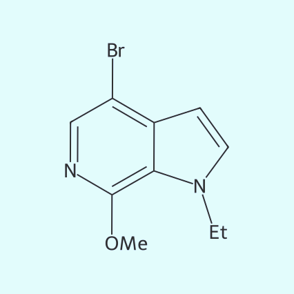 CCn1ccc2c(Br)cnc(OC)c21